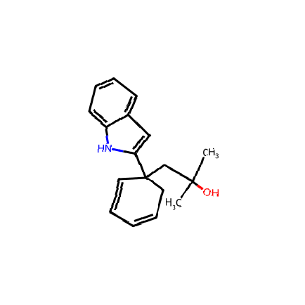 CC(C)(O)CC1(c2cc3ccccc3[nH]2)C=CC=CC1